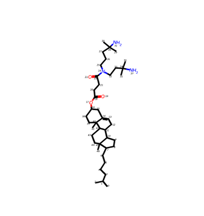 CC(C)CCCCC1CCC2C3CC=C4CC(OC(=O)CCC(=O)N(CCCC(C)(C)N)CCC(C)(C)N)CCC4(C)C3CCC12C